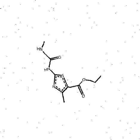 CCOC(=O)c1sc(NC(=O)NC)nc1C